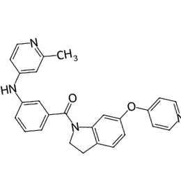 Cc1cc(Nc2cccc(C(=O)N3CCc4ccc(Oc5ccncc5)cc43)c2)ccn1